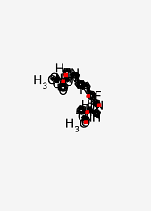 COC(=O)N[C@H](C(=O)N1CCC[C@H]1c1ncc(-c2ccc3nc(-c4ccc(-c5cnc([C@@H]6CCCN6C(=O)[C@H](NC(=O)OC)c6ccccc6)[nH]5)c(F)c4)ccc3c2)[nH]1)C1CCOCC1